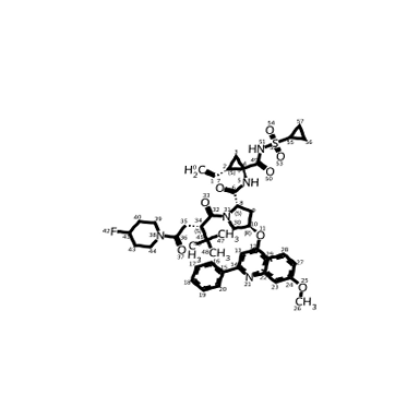 C=C[C@@H]1C[C@]1(NC(=O)[C@@H]1C[C@@H](Oc2cc(-c3ccccc3)nc3cc(OC)ccc23)CN1C(=O)[C@@H](CC(=O)N1CCC(F)CC1)C(C)(C)C)C(=O)NS(=O)(=O)C1CC1